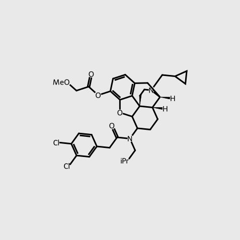 COCC(=O)Oc1ccc2c3c1OC1C(N(CC(C)C)C(=O)Cc4ccc(Cl)c(Cl)c4)CC[C@H]4[C@@H](C2)N(CC2CC2)CC[C@]314